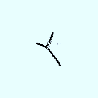 CCCCCCCCCCCCCCCC[N+](C)(CCCCCCCC)CCOC(=O)CCCCCCC.[Cl-]